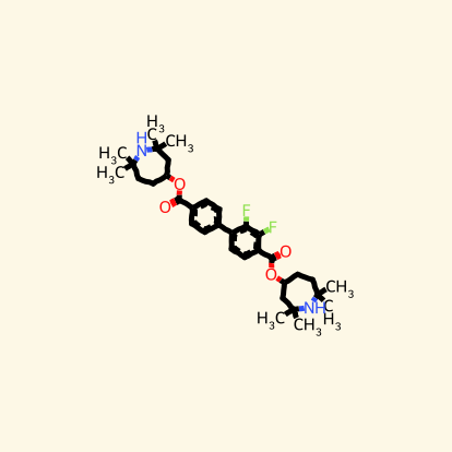 CC1(C)CCC(OC(=O)c2ccc(-c3ccc(C(=O)OC4CCC(C)(C)NC(C)(C)C4)c(F)c3F)cc2)CC(C)(C)N1